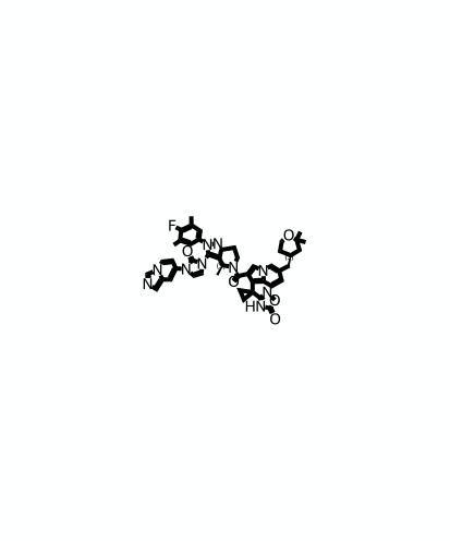 Cc1cc(-n2nc3c(c2-n2ccn(-c4ccn5cncc5c4)c2=O)[C@H](C)N(C(=O)c2cn4cc(C[C@H]5CCOC(C)(C)C5)ccc4c2C2(c4noc(=O)[nH]4)CC2)CC3)cc(C)c1F